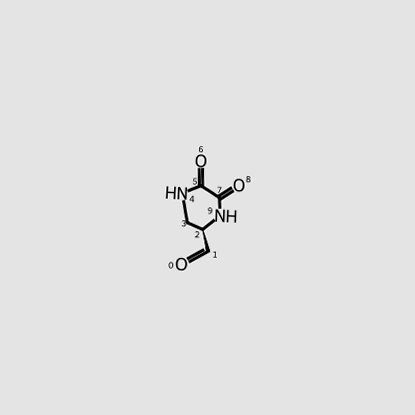 O=C[C@H]1CNC(=O)C(=O)N1